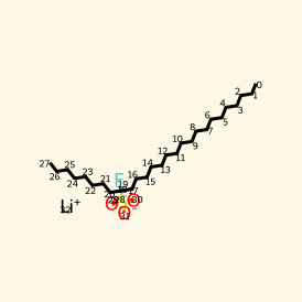 CCCCCCCCCCCCCCCCCCC(F)(CCCCCCCC)S(=O)(=O)[O-].[Li+]